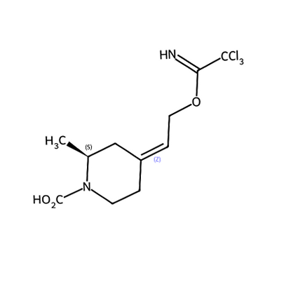 C[C@H]1C/C(=C\COC(=N)C(Cl)(Cl)Cl)CCN1C(=O)O